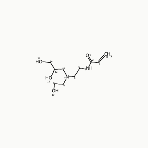 C=CC(=O)NCCN(CCO)CC(O)CO